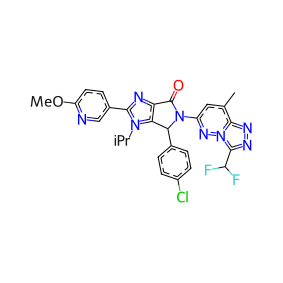 COc1ccc(-c2nc3c(n2C(C)C)C(c2ccc(Cl)cc2)N(c2cc(C)c4nnc(C(F)F)n4n2)C3=O)cn1